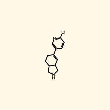 Clc1ccc(C2=CC3CNCC3CC2)cn1